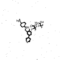 CNC1CCC(NCc2cc(-c3ccncc3)ccc2C)CC1.O=C(O)C(F)(F)F.O=C(O)C(F)(F)F